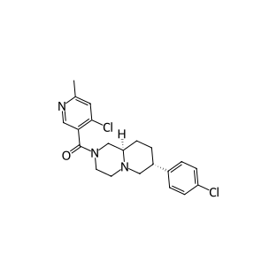 Cc1cc(Cl)c(C(=O)N2CCN3C[C@@H](c4ccc(Cl)cc4)CC[C@@H]3C2)cn1